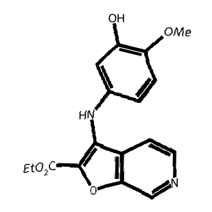 CCOC(=O)c1oc2cnccc2c1Nc1ccc(OC)c(O)c1